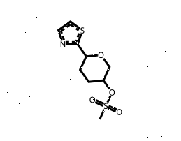 CS(=O)(=O)OC1CCC(c2nccs2)OC1